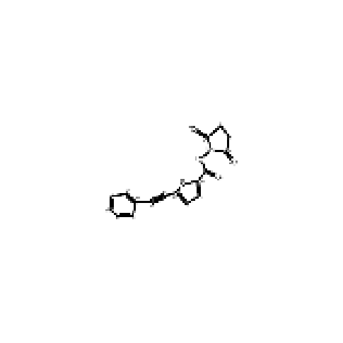 O=C(ON1C(=O)CCC1=O)c1ccc(C#Cc2ccccc2)s1